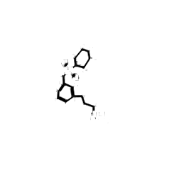 NCCCc1cccc(CS(=O)(=O)C2CCCCC2)c1